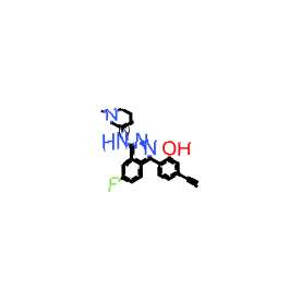 C#Cc1ccc(-c2nnc(N[C@@H]3CCCN(C)C3)c3cc(F)ccc23)c(O)c1